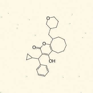 O=c1oc2c(c(O)c1C(c1ccccc1)C1CC1)CCCCCC2CC1CCCOC1